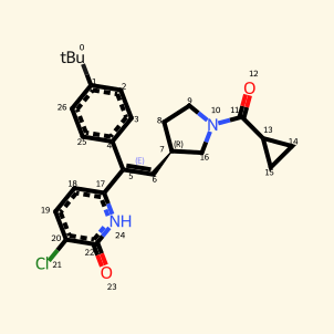 CC(C)(C)c1ccc(/C(=C\[C@H]2CCN(C(=O)C3CC3)C2)c2ccc(Cl)c(=O)[nH]2)cc1